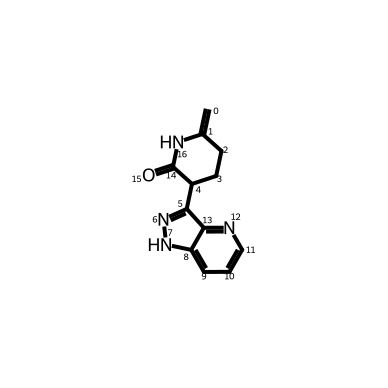 C=C1CCC(c2n[nH]c3cccnc23)C(=O)N1